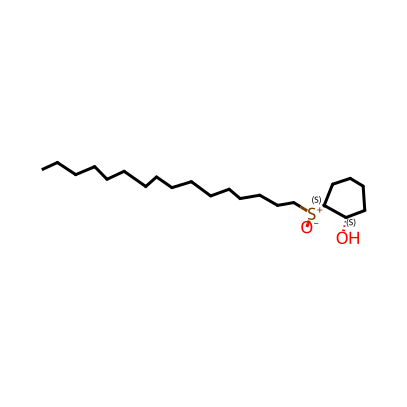 CCCCCCCCCCCCCCCC[S+]([O-])[C@H]1CCCC[C@@H]1O